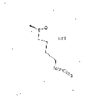 C[S@@+]([O-])CCCCN=C=S.Cl